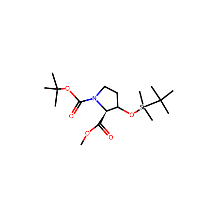 COC(=O)[C@@H]1C(O[Si](C)(C)C(C)(C)C)CCN1C(=O)OC(C)(C)C